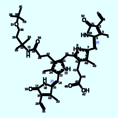 C=CC1=C(C)/C(=C/c2[nH]c(Cc3[nH]c(/C=C4\NC(=O)C(C=C)=C4C)c(C)c3CCC(=O)NC(C)(C)CCOC(C)(C)C)c(CCC(=O)O)c2C)NC1=O